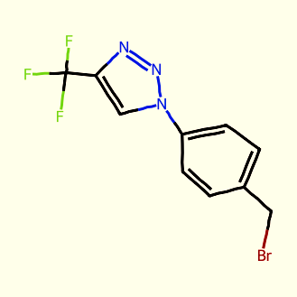 FC(F)(F)c1cn(-c2ccc(CBr)cc2)nn1